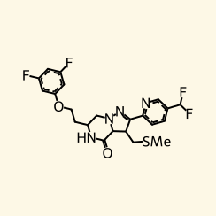 CSCC1C(c2ccc(C(F)F)cn2)=NN2CC(CCOc3cc(F)cc(F)c3)NC(=O)C12